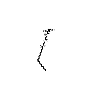 CCCCCCCC/C=C\CCCCCCCC(=O)NCCOC(=O)CCNC(=O)C(O)C(C)(C)CO